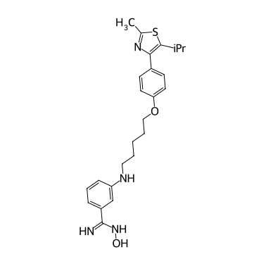 Cc1nc(-c2ccc(OCCCCCNc3cccc(C(=N)NO)c3)cc2)c(C(C)C)s1